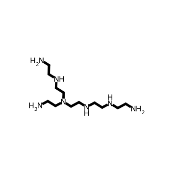 NCCNCCNCCN(CCN)CCNCCN